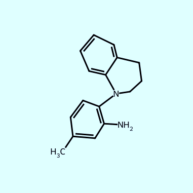 Cc1ccc(N2CCCc3ccccc32)c(N)c1